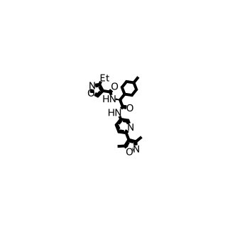 CCc1nocc1C(=O)N[C@H](C(=O)Nc1ccc(-c2c(C)noc2C)nc1)C1CCC(C)CC1